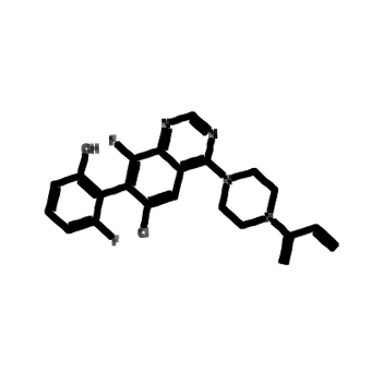 C=CC(=C)N1CCN(c2ncnc3c(F)c(-c4c(O)cccc4F)c(Cl)cc23)CC1